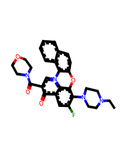 CCN1CCN(c2c(F)cc3c(=O)c(C(=O)N4CCOCC4)cn4c3c2Oc2ccc3ccccc3c2-4)CC1